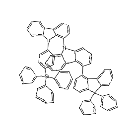 c1ccc(C2(c3ccccc3)c3ccccc3-c3c(-c4cccc5c4c4ccccc4n5-c4cccc5c6ccccc6n(-c6ccc([Si](c7ccccc7)(c7ccccc7)c7ccccc7)cc6)c45)cccc32)cc1